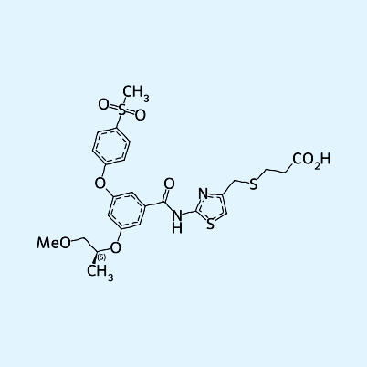 COC[C@H](C)Oc1cc(Oc2ccc(S(C)(=O)=O)cc2)cc(C(=O)Nc2nc(CSCCC(=O)O)cs2)c1